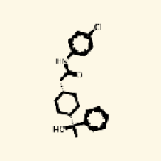 CC(O)(c1ccccc1)[C@H]1CC[C@@H](CC(=O)Nc2ccc(Cl)cc2)CC1